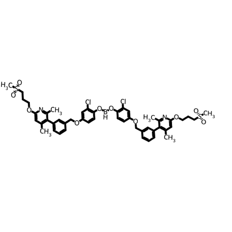 Cc1cc(OCCCS(C)(=O)=O)nc(C)c1-c1cccc(COc2ccc(OBOc3ccc(OCc4cccc(-c5c(C)cc(OCCCS(C)(=O)=O)nc5C)c4)cc3Cl)c(Cl)c2)c1